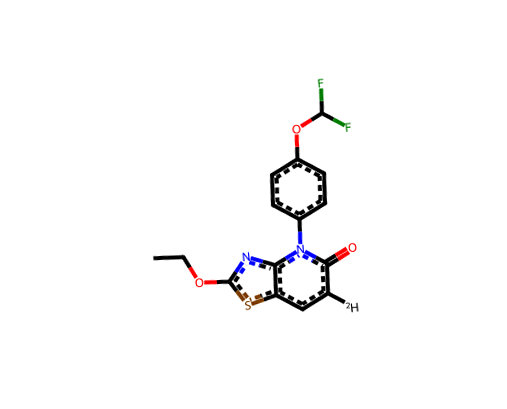 [2H]c1cc2sc(OCC)nc2n(-c2ccc(OC(F)F)cc2)c1=O